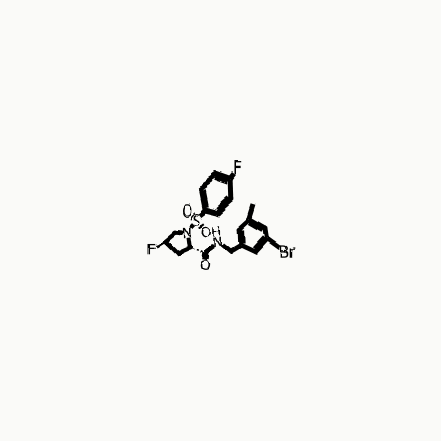 Cc1cc(Br)cc(CNC(=O)[C@@H]2C[C@@H](F)CN2S(=O)(=O)c2ccc(F)cc2)c1